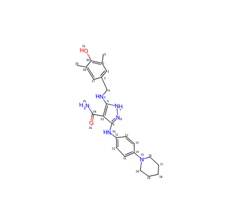 Cc1cc(CNc2[nH]nc(Nc3ccc(N4CCCCC4)cc3)c2C(N)=O)cc(C)c1O